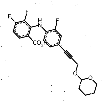 O=C(O)c1ccc(F)c(F)c1Nc1ccc(C#CCOC2CCCCO2)cc1F